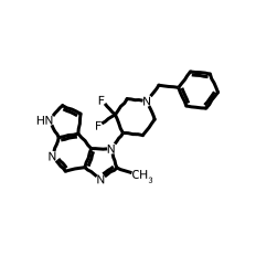 Cc1nc2cnc3[nH]ccc3c2n1C1CCN(Cc2ccccc2)CC1(F)F